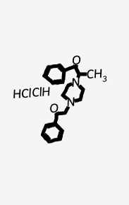 CC(C(=O)c1ccccc1)N1CCN(CC(=O)c2ccccc2)CC1.Cl.Cl